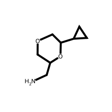 NCC1COCC(C2CC2)O1